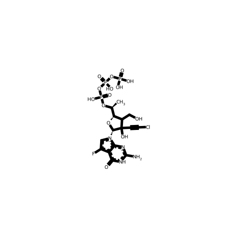 C[C@H](OP(=O)(O)OP(=O)(O)OP(=O)(O)O)[C@H]1O[C@@H](n2cc(F)c3c(=O)[nH]c(N)nc32)C(O)(C#CCl)C1CO